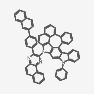 c1ccc(-n2c3ccccc3c3c4c5c6c7c(cccc7ccc6n(-c6nc7c(ccc8ccccc87)nc6-c6ccc(-c7ccc8ccccc8c7)cc6)c5cc32)-c2ccccc2-4)cc1